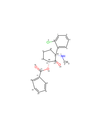 CN[C@@]1(c2ccccc2Cl)CCC[C@@H](OC(=O)c2ccccc2)C1=O